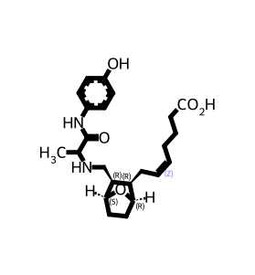 CC(NC[C@H]1[C@@H](C/C=C\CCCC(=O)O)[C@H]2CC[C@@H]1O2)C(=O)Nc1ccc(O)cc1